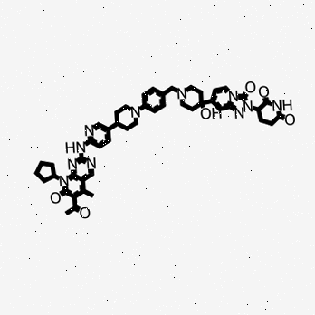 CC(=O)c1c(C)c2cnc(Nc3ccc(C4CCN(c5ccc(CN6CCC(O)(c7ccn8c(=O)n(C9CCC(=O)NC9=O)nc8c7)CC6)cc5)CC4)cn3)nc2n(C2CCCC2)c1=O